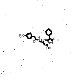 O=C(Cc1ccc(C(F)(F)F)cc1)NCC1=CC(O)n2nc(C(F)(F)F)c(-c3ccccc3)c2N1